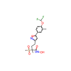 Cc1cc(-c2cc(CCC(C)(C(=O)NO)S(C)(=O)=O)no2)ccc1OC(F)F